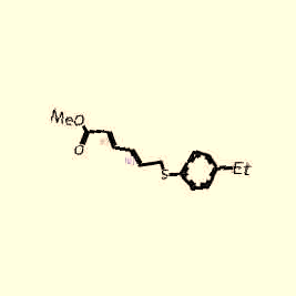 CCc1ccc(SC/C=C/C=C/C(=O)OC)cc1